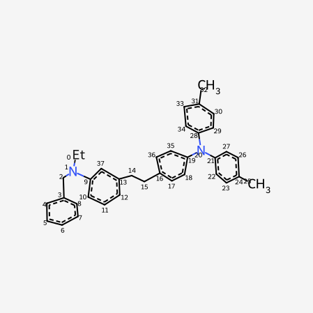 CCN(Cc1ccccc1)c1cccc(CCc2ccc(N(c3ccc(C)cc3)c3ccc(C)cc3)cc2)c1